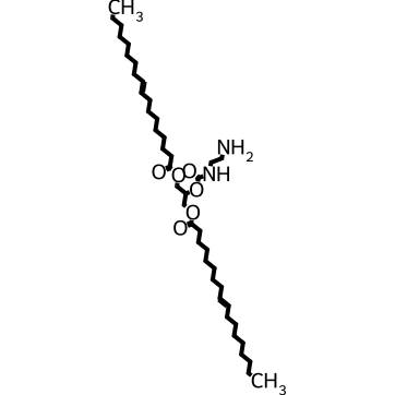 CCCCCCCCC=CCCCCCCCC(=O)OCC(COC(=O)CCCCCCCC=CCCCCCCCC)OC(=O)NCCN